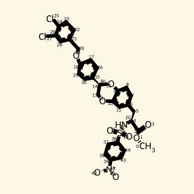 COC(=O)[C@H](Cc1ccc2c(c1)OC[C@@H](c1ccc(OCc3ccc(Cl)c(Cl)c3)cc1)O2)NS(=O)(=O)c1ccc([N+](=O)[O-])cc1